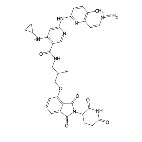 C=N/C=C\c1nc(Nc2cc(NC3CC3)c(C(=O)NCC(F)COc3cccc4c3C(=O)N(C3CCC(=O)NC3=O)C4=O)cn2)ccc1C